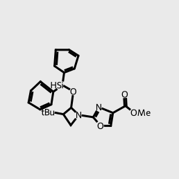 COC(=O)c1coc(N2CC(C(C)(C)C)C2O[SiH](c2ccccc2)c2ccccc2)n1